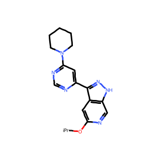 CC(C)Oc1cc2c(-c3cc(N4CCCCC4)ncn3)n[nH]c2cn1